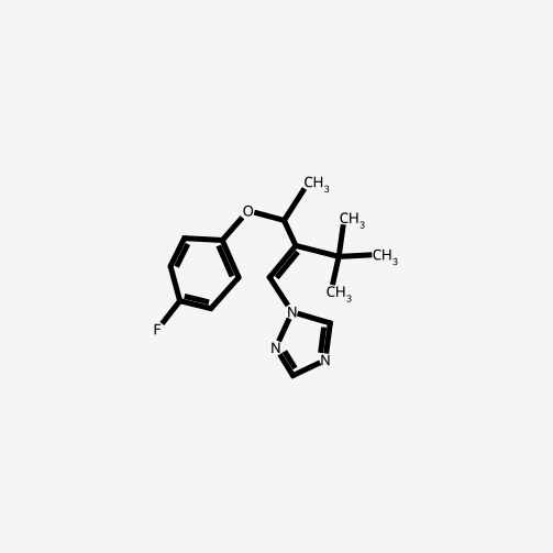 CC(Oc1ccc(F)cc1)C(=Cn1cncn1)C(C)(C)C